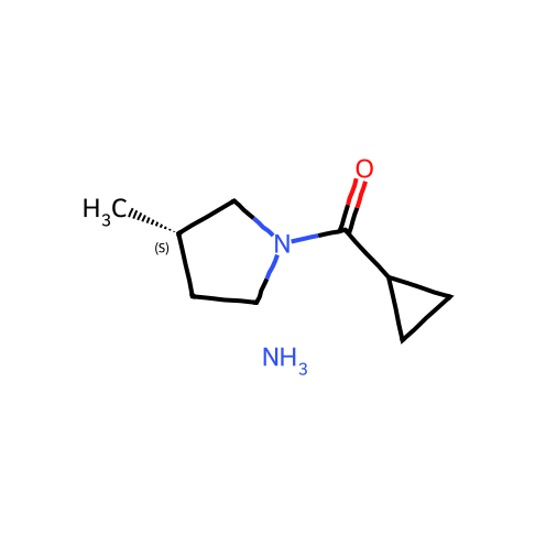 C[C@H]1CCN(C(=O)C2CC2)C1.N